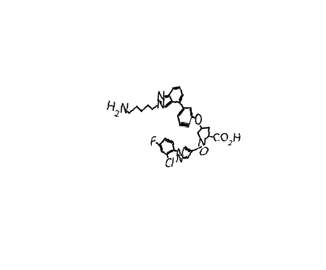 NCCCCCn1cc2c(-c3cccc(O[C@H]4C[C@@H](C(=O)O)N(C(=O)c5cnn(-c6ccc(F)cc6Cl)c5)C4)c3)cccc2n1